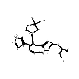 C[C@@H](CF)Nc1nc2c(N3CCC(F)(F)C3)c(-c3cn[nH]c3)ncn2n1